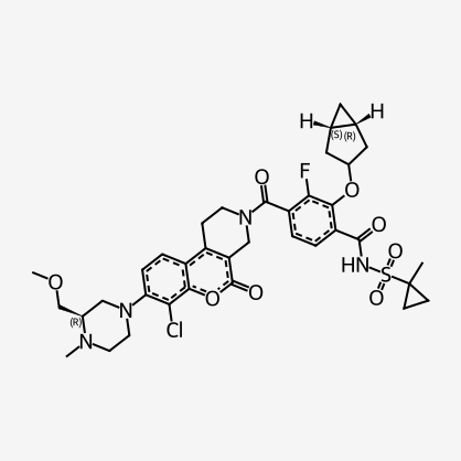 COC[C@H]1CN(c2ccc3c4c(c(=O)oc3c2Cl)CN(C(=O)c2ccc(C(=O)NS(=O)(=O)C3(C)CC3)c(OC3C[C@@H]5C[C@@H]5C3)c2F)CC4)CCN1C